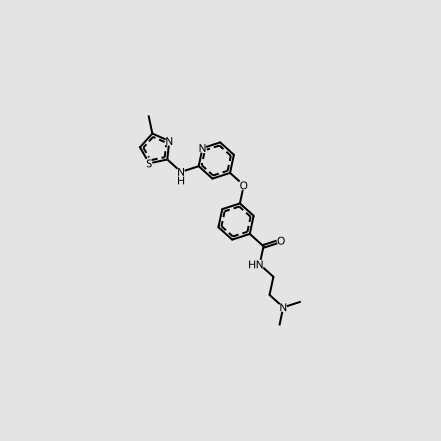 Cc1csc(Nc2cc(Oc3cccc(C(=O)NCCN(C)C)c3)ccn2)n1